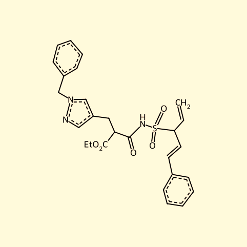 C=CC(C=Cc1ccccc1)S(=O)(=O)NC(=O)C(Cc1cnn(Cc2ccccc2)c1)C(=O)OCC